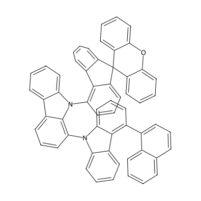 c1ccc2c(c1)Oc1ccccc1C21c2ccccc2-c2c(-n3c4ccccc4c4cccc(-n5c6ccccc6c6c(-c7cccc8ccccc78)cccc65)c43)cccc21